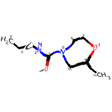 [CH2]CNC(=O)N1CCOC(C)C1